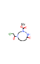 CC(C)(C)OC(=O)N1CCN(C(=O)CCl)CCCCC(=O)NC1